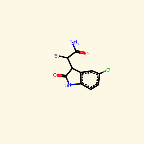 CCC(C(N)=O)C1C(=O)Nc2ccc(Cl)cc21